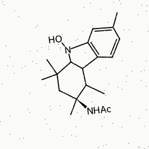 CC(=O)N[C@@]1(C)CC(C)(C)C2C(c3ccc(C)cc3N2O)C1C